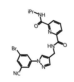 CC(C)NC(=O)c1cccc(C(=O)NCc2cnn(-c3cc(Br)cc(C#N)c3)c2)n1